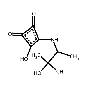 CC(Nc1c(O)c(=O)c1=O)C(C)(C)O